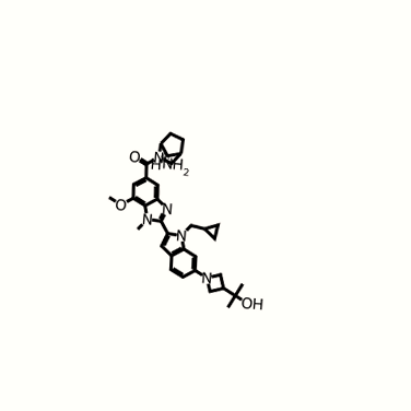 COc1cc(C(=O)N2CC3CCC2[C@@H]3N)cc2nc(-c3cc4ccc(N5CC(C(C)(C)O)C5)cc4n3CC3CC3)n(C)c12